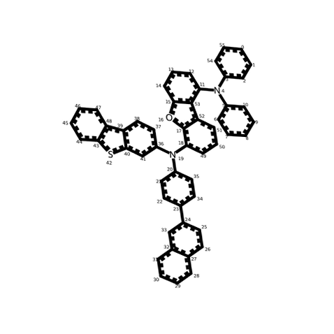 c1ccc(N(c2ccccc2)c2cccc3oc4c(N(c5ccc(-c6ccc7ccccc7c6)cc5)c5ccc6c(c5)sc5ccccc56)cccc4c23)cc1